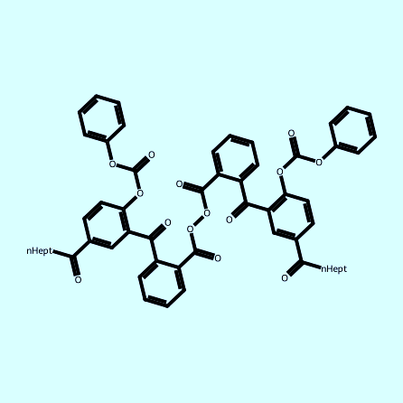 CCCCCCCC(=O)c1ccc(OC(=O)Oc2ccccc2)c(C(=O)c2ccccc2C(=O)OOC(=O)c2ccccc2C(=O)c2cc(C(=O)CCCCCCC)ccc2OC(=O)Oc2ccccc2)c1